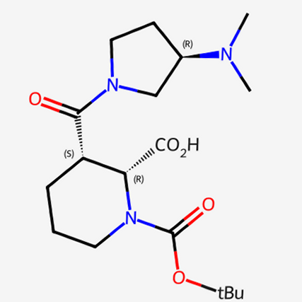 CN(C)[C@@H]1CCN(C(=O)[C@H]2CCCN(C(=O)OC(C)(C)C)[C@H]2C(=O)O)C1